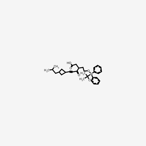 CC(C)CC1CC(C#CC(=O)C(CCO[Si](c2ccccc2)(c2ccccc2)C(C)(C)C)CC(=O)O)C1